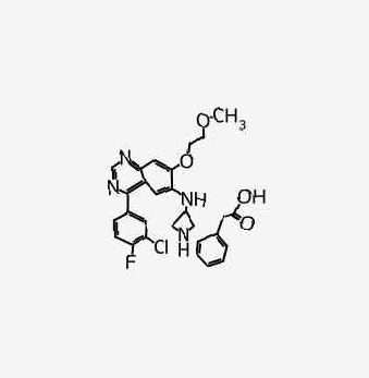 COCCOc1cc2ncnc(-c3ccc(F)c(Cl)c3)c2cc1NC1CNC1.O=C(O)Cc1ccccc1